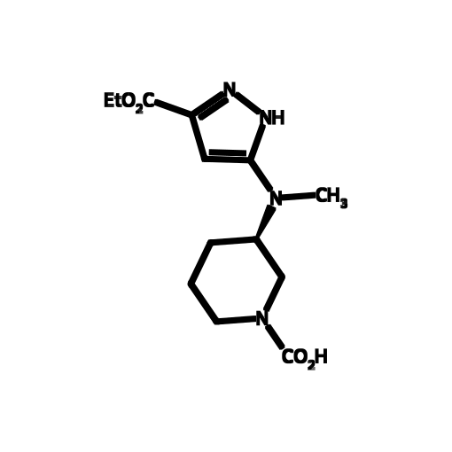 CCOC(=O)c1cc(N(C)[C@@H]2CCCN(C(=O)O)C2)[nH]n1